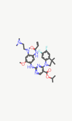 C=CC(=O)Nc1cc(Nc2ncc(C(=O)OC(C)C)c(N3CC(C)(C)c4cc(F)c(F)cc43)n2)c(OC)cc1N(C)CCN(C)C